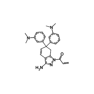 C=CC(=O)n1nc(N)c2c1CC(c1cccc(N(C)C)c1)(c1cccc(N(C)C)c1)C=C2